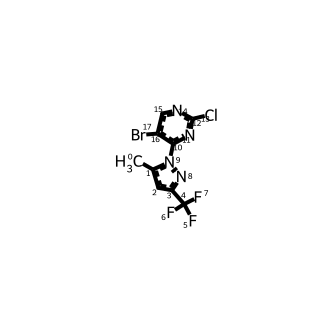 Cc1cc(C(F)(F)F)nn1-c1nc(Cl)ncc1Br